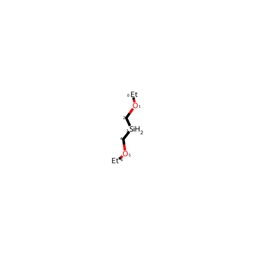 CCOC[SiH2]COCC